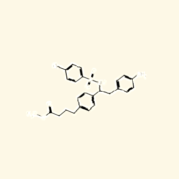 COC(=O)CCCc1ccc(C(Cc2ccc(C)cc2)NS(=O)(=O)c2ccc(Cl)cc2)cc1